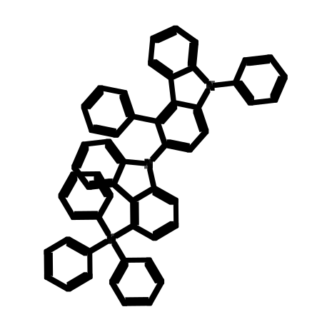 c1ccc(-c2c(-n3c4ccccc4c4c([Si](c5ccccc5)(c5ccccc5)c5ccccc5)cccc43)ccc3c2c2ccccc2n3-c2ccccc2)cc1